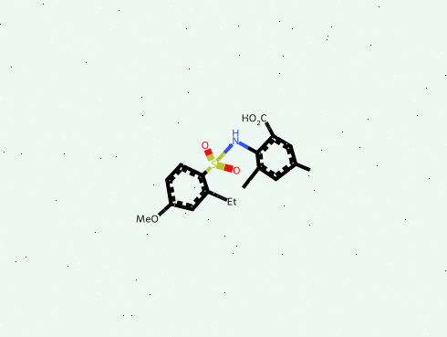 CCc1cc(OC)ccc1S(=O)(=O)Nc1c(C)cc(C)cc1C(=O)O